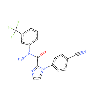 N#Cc1ccc(-n2ccnc2C(=O)N(N)c2cccc(C(F)(F)F)c2)cc1